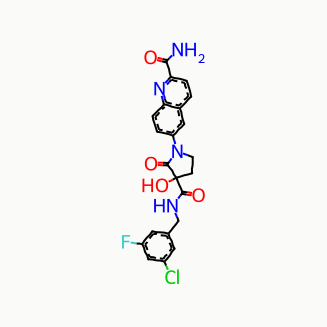 NC(=O)c1ccc2cc(N3CCC(O)(C(=O)NCc4cc(F)cc(Cl)c4)C3=O)ccc2n1